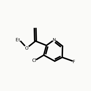 C=C(OCC)c1ncc(F)cc1Cl